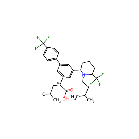 CC(C)CCN1C(c2cc(-c3ccc(C(F)(F)F)cc3)cc([C@H](CC(C)C)C(=O)O)c2)CCCC1C(F)(F)F